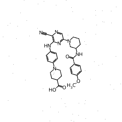 COc1ccc(C(=O)NC2CCCN(c3cnc(C#N)c(Nc4ccc(N5CCC(C(=O)O)CC5)cc4)n3)C2)cc1